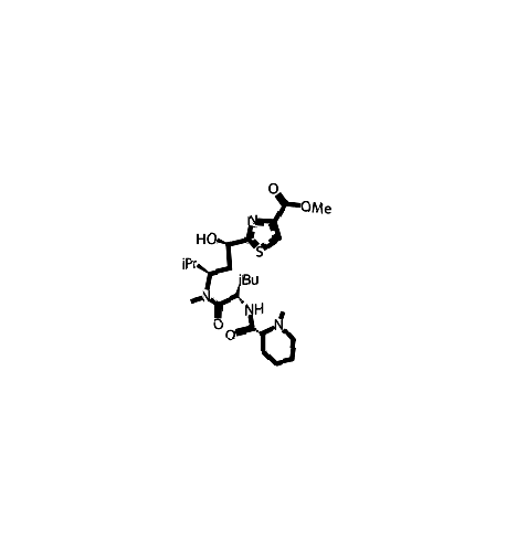 CC[C@H](C)[C@H](NC(=O)[C@H]1CCCCN1C)C(=O)N(C)[C@H](C[C@@H](O)c1nc(C(=O)OC)cs1)C(C)C